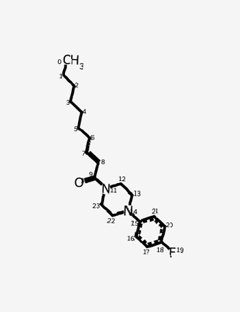 CCCCCCC/C=C/C(=O)N1CCN(c2ccc(F)cc2)CC1